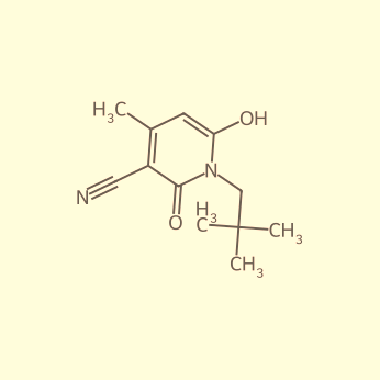 Cc1cc(O)n(CC(C)(C)C)c(=O)c1C#N